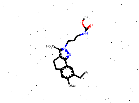 COc1cc2c(cc1CC(C)C)-c1nn(CCCNC(=O)OC(C)(C)C)c(C(=O)O)c1CC2